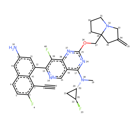 C#Cc1c(F)ccc2cc(N)cc(-c3ncc4c(N(C)[C@H]5C[C@@H]5F)nc(OCC56CCCN5CC(=C)C6)nc4c3F)c12